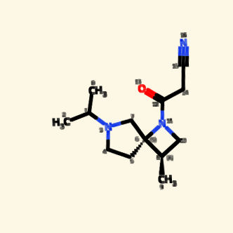 CC(C)N1CC[C@@]2(C1)[C@H](C)CN2C(=O)CC#N